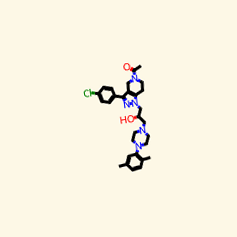 CC(=O)N1CCc2c(c(-c3ccc(Cl)cc3)nn2CC(O)CN2CCN(c3cc(C)ccc3C)CC2)C1